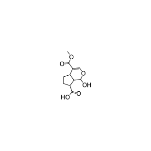 COC(=O)C1=COC(O)C2C(C(=O)O)CCC12